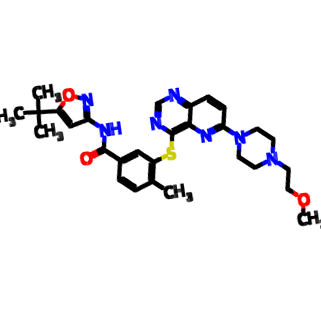 COCCN1CCN(c2ccc3ncnc(Sc4cc(C(=O)Nc5cc(C(C)(C)C)on5)ccc4C)c3n2)CC1